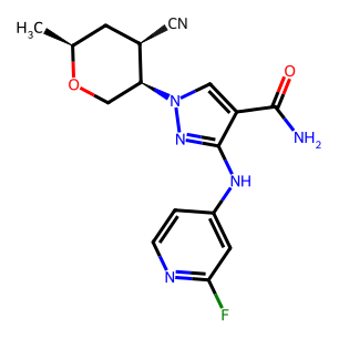 C[C@H]1C[C@@H](C#N)[C@@H](n2cc(C(N)=O)c(Nc3ccnc(F)c3)n2)CO1